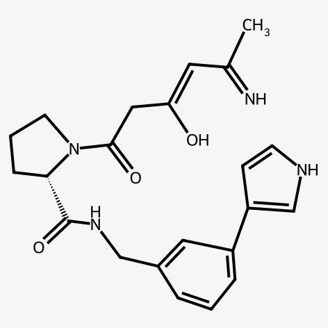 CC(=N)/C=C(\O)CC(=O)N1CCC[C@H]1C(=O)NCc1cccc(-c2cc[nH]c2)c1